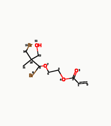 C=CC(=O)OCCOC(Br)C(C)(CO)CBr